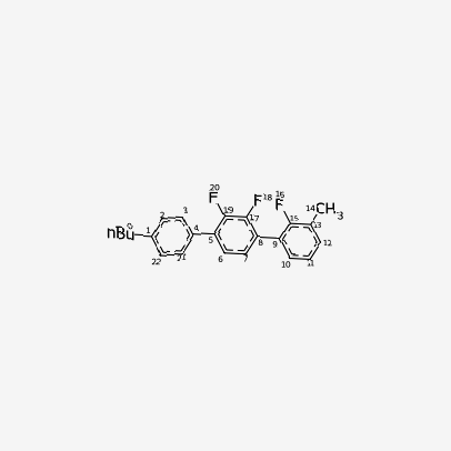 CCCCc1ccc(-c2ccc(-c3cccc(C)c3F)c(F)c2F)cc1